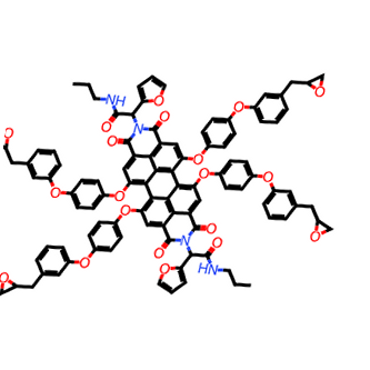 CCCNC(=O)C(c1ccco1)N1C(=O)c2cc(Oc3ccc(Oc4cccc(CC5CO5)c4)cc3)c3c4c(Oc5ccc(Oc6cccc(CC7CO7)c6)cc5)cc5c6c(cc(Oc7ccc(Oc8cccc(CC9CO9)c8)cc7)c(c7c(Oc8ccc(Oc9cccc(CC%10CO%10)c9)cc8)cc(c2c37)C1=O)c64)C(=O)N(C(C(=O)NCCC)c1ccco1)C5=O